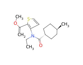 C=C(OC)c1sccc1N(CC)C(=O)[C@H]1CC[C@H](C)CC1